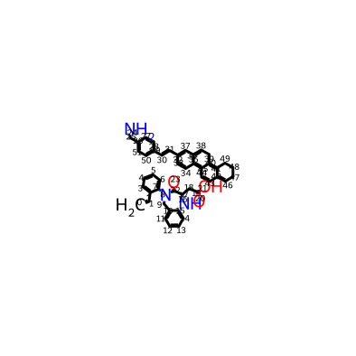 C=Cc1ccccc1N1Cc2ccccc2NC(CC(=O)O)C1=O.NCc1ccc(/C=C/c2ccc3c(c2)=CCc2c4c(ccc2=3)=CCCC4)cc1